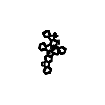 C[Si]1(C)c2ccccc2-c2c(-c3ccccc3-n3c4ccccc4c4cc5c(cc43)oc3ccccc35)nc(-c3ccccc3)nc21